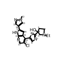 CCN1CCC(O)(c2ncc(-c3c(Cl)cnc4[nH]c(-c5cnn(C)c5)cc34)s2)C1